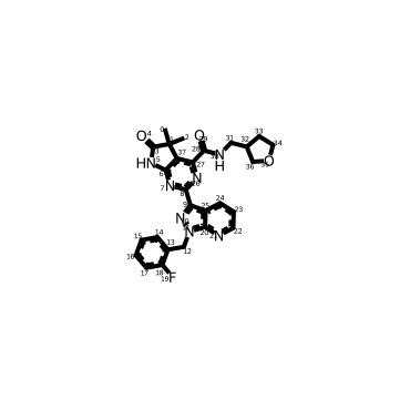 CC1(C)C(=O)Nc2nc(-c3nn(Cc4ccccc4F)c4ncccc34)nc(C(=O)NCC3CCOC3)c21